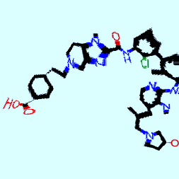 C=Nc1c(/C=C(\C)CN2CC[C@@H](O)C2)ccnc1Nc1cccc(-c2cccc(NC(=O)c3nc4c(n3C)CCN(CC[C@H]3CC[C@@H](C(=O)O)CC3)C4)c2Cl)c1C